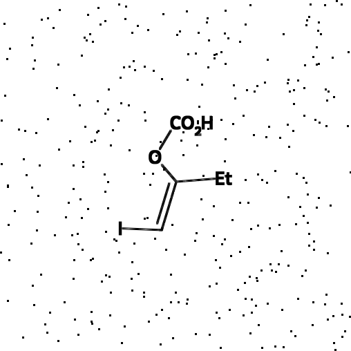 CC/C(=C/I)OC(=O)O